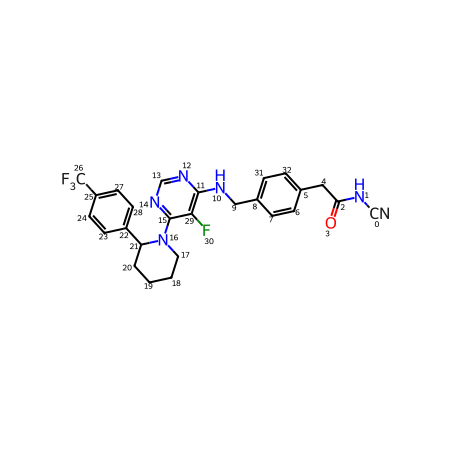 N#CNC(=O)Cc1ccc(CNc2ncnc(N3CCCCC3c3ccc(C(F)(F)F)cc3)c2F)cc1